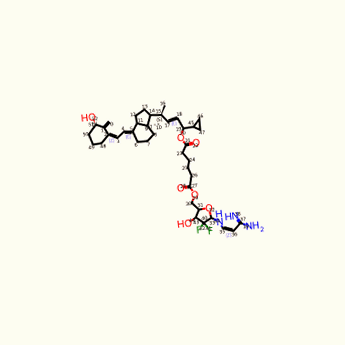 C=C1/C(=C\C=C2/CCC[C@@]3(C)C2CCC3[C@@H](C)/C=C/C(OC(=O)CCCCC(=O)OCC2OC(N/C=C\C(=N)N)C(F)(F)C2O)C2CC2)CCC[C@@H]1O